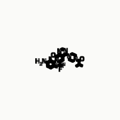 Cc1ccc(N)c(C)c1-n1c(C(F)(F)F)cc2c(N3CCN(C(=O)C(C)C)CC3)ncnc2c1=O